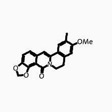 COc1cc2c(cc1C)-c1cc3ccc4c(c3c(=O)n1CC2)OCO4